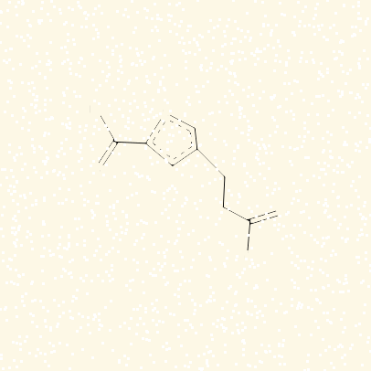 CC(=O)CCc1csc(C(=O)O)c1